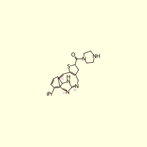 CC(C)C1=CC(NC2=N\CC3=C(/C=C\C/C=N\2)SC(C(=O)N2CCNCC2)C3)CC=C1